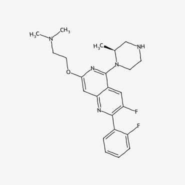 C[C@H]1CNCCN1c1nc(OCCN(C)C)cc2nc(-c3ccccc3F)c(F)cc12